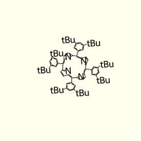 CC(C)(C)c1cc(C2=C3C=CC(=N3)C(c3cc(C(C)(C)C)cc(C(C)(C)C)c3)=C3C=CC(=N3)C(c3cc(C(C)(C)C)cc(C(C)(C)C)c3)=C3C=CC(=N3)C(c3cc(C(C)(C)C)cc(C(C)(C)C)c3)=C3C=CC2=N3)cc(C(C)(C)C)c1